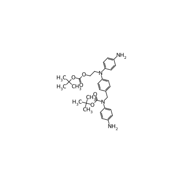 CC(C)(C)OC(=O)OCCN(c1ccc(N)cc1)c1ccc(CN(C(=O)OC(C)(C)C)c2ccc(N)cc2)cc1